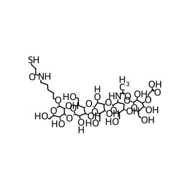 CC(=O)NC1C(O[C@@H]2OC(CO)[C@H](O)C(OCC(=O)O)C2O)[C@@H](O)C(CO)O[C@H]1OC1C(O)[C@@H](O[C@H]2C(CO)O[C@@H](OC3C(O)[C@H](OCCCCCNC(=O)CCS)OC(CO)[C@@H]3O)C(O)C2O)OC(CO)[C@@H]1O